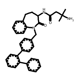 CC(C)(N)CC(=O)NC1CCc2ccccc2N(Cc2ccc(-c3ccccc3-c3ccccc3)cc2)C1=O